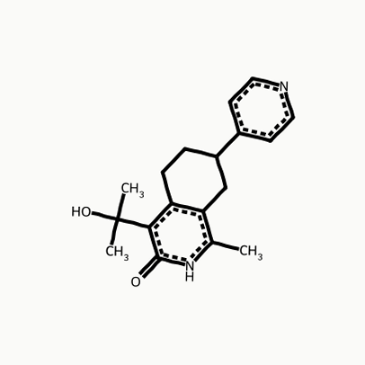 Cc1[nH]c(=O)c(C(C)(C)O)c2c1CC(c1ccncc1)CC2